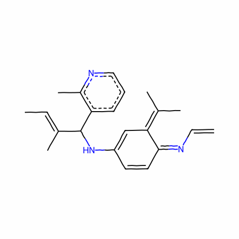 C=C/N=C1/C=CC(NC(/C(C)=C/C)c2cccnc2C)=CC1=C(C)C